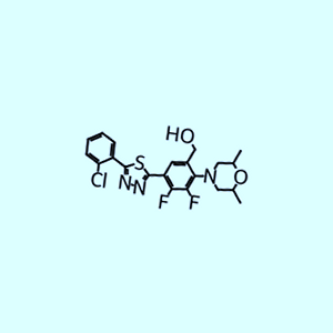 CC1CN(c2c(CO)cc(-c3nnc(-c4ccccc4Cl)s3)c(F)c2F)CC(C)O1